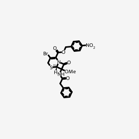 COC1(NC(=O)Cc2ccccc2)C(=O)N2C(C(=O)OCc3ccc([N+](=O)[O-])cc3)=C(Br)CS[C@H]21